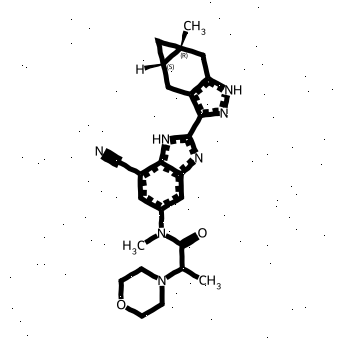 CC(C(=O)N(C)c1cc(C#N)c2[nH]c(-c3n[nH]c4c3C[C@@H]3C[C@]3(C)C4)nc2c1)N1CCOCC1